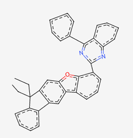 CCC1(CC)c2ccccc2-c2cc3c(cc21)oc1c(-c2nc(-c4ccccc4)c4ccccc4n2)cccc13